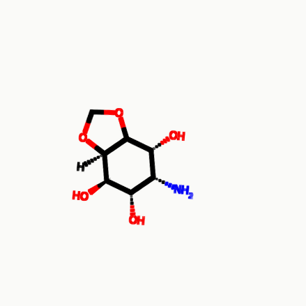 N[C@@H]1[C@H](O)[C@@H](O)[C@H]2OCOC2[C@@H]1O